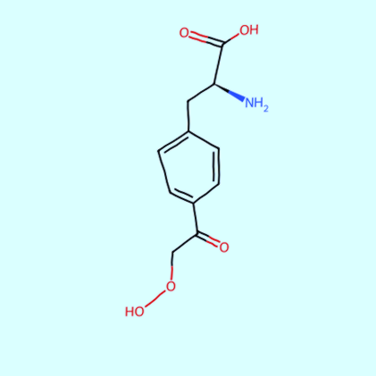 N[C@@H](Cc1ccc(C(=O)COO)cc1)C(=O)O